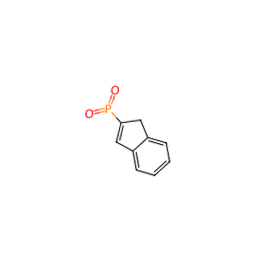 O=P(=O)C1=Cc2ccccc2C1